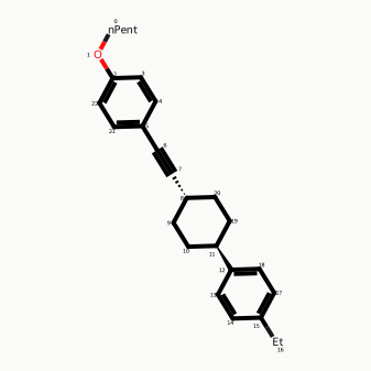 CCCCCOc1ccc(C#C[C@H]2CC[C@H](c3ccc(CC)cc3)CC2)cc1